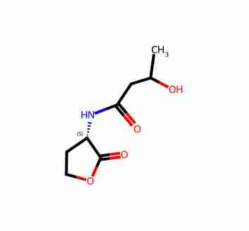 CC(O)CC(=O)N[C@H]1CCOC1=O